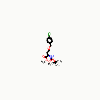 COC(=O)C(CCOCc1ccc(Cl)cc1)NC(=O)OC(C)(C)C